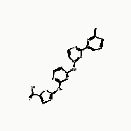 Cc1cccc(-c2nccc(Nc3ccnc(Nc4ccc(C(=O)O)s4)n3)n2)n1